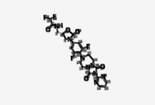 O=C(NC[C@H]1CN(c2cc(F)c(N3CCn4c(=O)n(-c5ncccn5)c(=O)n4CC3)c(F)c2)C(=O)O1)C(F)F